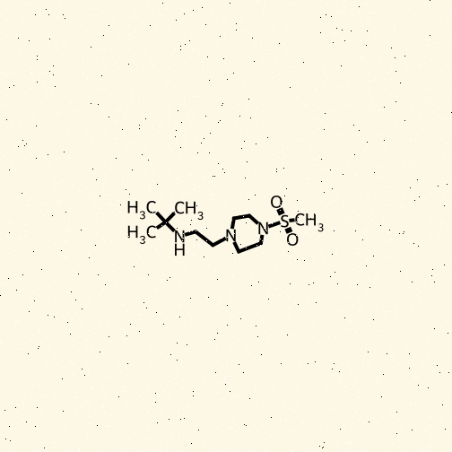 CC(C)(C)NCCN1CCN(S(C)(=O)=O)CC1